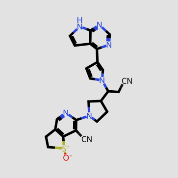 N#CCC(C1CCN(c2ncc3c(c2C#N)[S+]([O-])CC3)C1)n1ccc(-c2ncnc3[nH]ccc23)c1